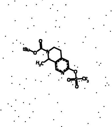 CC1c2cnc(OS(=O)(=O)C(F)(F)F)cc2CCN1C(=O)OC(C)(C)C